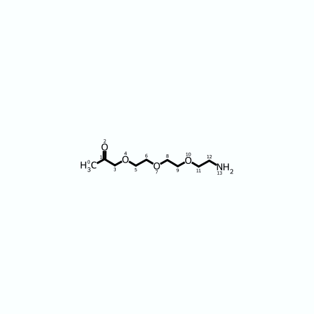 CC(=O)COCCOCCOCCN